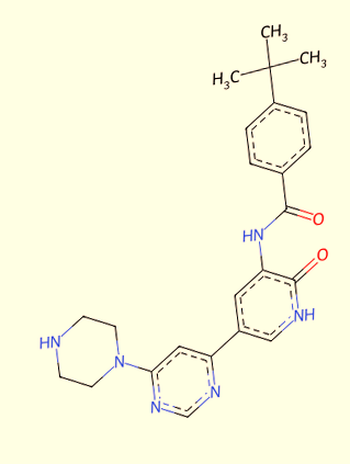 CC(C)(C)c1ccc(C(=O)Nc2cc(-c3cc(N4CCNCC4)ncn3)c[nH]c2=O)cc1